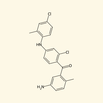 Cc1cc(Cl)ccc1Nc1ccc(C(=O)c2cc(N)ccc2C)c(Cl)c1